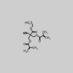 C=C(C)C(=O)OCC(CCCC)(COC(=O)C(=C)C)C(=O)OCS(=O)(=O)O.[KH]